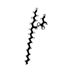 CCCCCCCCCCCCCCC(CCCCCC)COC(=O)C(C)CC